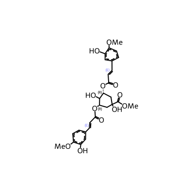 COC(=O)C1(O)C[C@@H](OC(=O)/C=C/c2ccc(OC)c(O)c2)C(O)[C@H](OC(=O)/C=C/c2ccc(OC)c(O)c2)C1